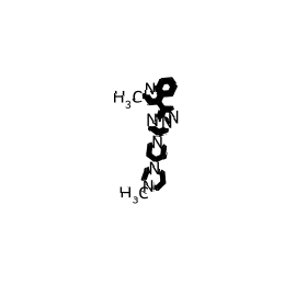 Cc1cc(-c2cnn3cc(N4CCC(N5CCCN(C)CC5)CC4)cnc23)c2ccccc2n1